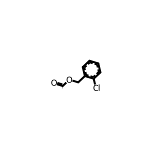 O=[C]OCc1ccccc1Cl